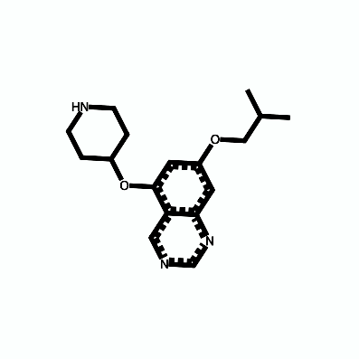 CC(C)COc1cc(OC2CCNCC2)c2cncnc2c1